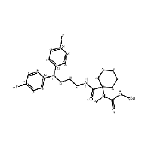 CN(C(=O)OC(C)(C)C)C1(C(=O)NCCCC(c2ccc(F)cc2)c2ccc(F)cc2)CCCCC1